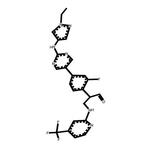 CCn1cc(Nc2ncc(-c3ccc(C(C=O)CNc4cc(C(F)(F)F)ccn4)c(F)c3)cn2)cn1